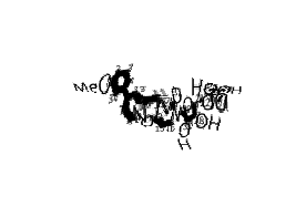 COc1cccc(-c2ccnc(Cn3c(=O)ccn([C@@H]4O[C@H](COP(=O)(O)O)C(O)C4O)c3=O)c2)c1